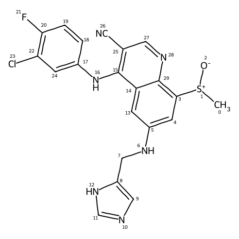 C[S+]([O-])c1cc(NCc2cnc[nH]2)cc2c(Nc3ccc(F)c(Cl)c3)c(C#N)cnc12